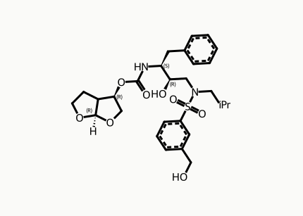 CC(C)CN(C[C@@H](O)[C@H](Cc1ccccc1)NC(=O)O[C@H]1CO[C@H]2OCCC21)S(=O)(=O)c1cccc(CO)c1